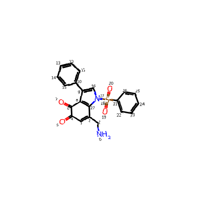 NCC1=CC(=O)C(=O)c2c(-c3ccccc3)cn(S(=O)(=O)c3ccccc3)c21